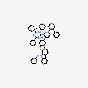 CC1(C2N=C(c3ccccc3)NC(C3=C(C4C=CC5=C(C4)C4C=Cc6c(n(CC7C=CC=CC7)c7ccccc67)C4O5)C=CC(C4=C(c5ccccc5)CCC=C4[C@H]4C=CC=CC4)C3)N2)C=CC=CC1